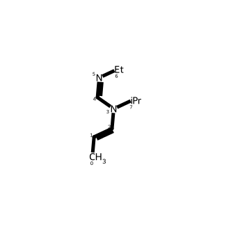 C/C=C/N(/C=N\CC)C(C)C